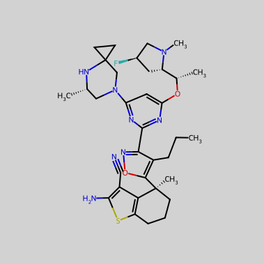 CCCc1c(-c2nc(O[C@@H](C)[C@@H]3C[C@@H](F)CN3C)cc(N3C[C@H](C)NC4(CC4)C3)n2)noc1[C@@]1(C)CCCc2sc(N)c(C#N)c21